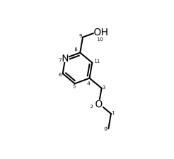 CCOCc1ccnc(CO)c1